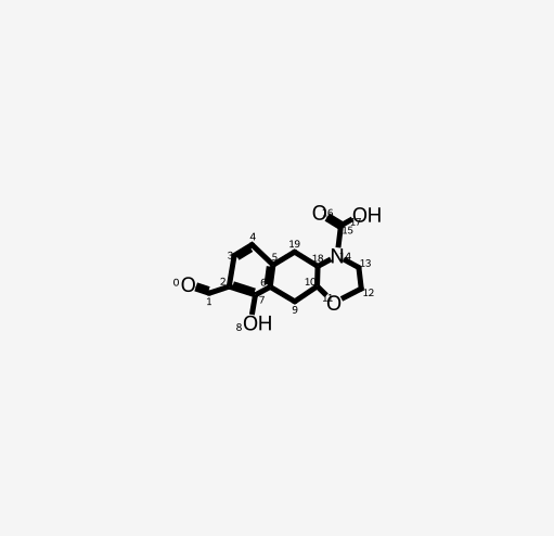 O=Cc1ccc2c(c1O)CC1OCCN(C(=O)O)C1C2